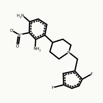 Nc1ccc(C2CCN(Cc3cc(F)ccc3F)CC2)c(N)c1[N+](=O)[O-]